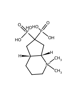 C[N+]1(C)CCC[C@@H]2CC(P(=O)(O)O)(P(=O)(O)O)C[C@@H]21